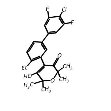 CCc1ccc(-c2cc(F)c(Cl)c(F)c2)cc1C1=C(O)C(C)(C)OC(C)(C)C1=O